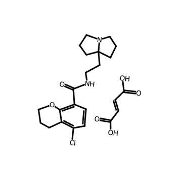 O=C(NCCC12CCCN1CCC2)c1ccc(Cl)c2c1OCCC2.O=C(O)C=CC(=O)O